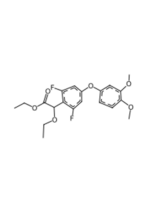 CCOC(=O)C(OCC)c1c(F)cc(Oc2ccc(OC)c(OC)c2)cc1F